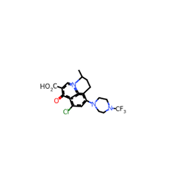 CC1CCc2c(N3CCN(C(F)(F)F)CC3)cc(Cl)c3c(=O)c(C(=O)O)cn1c23